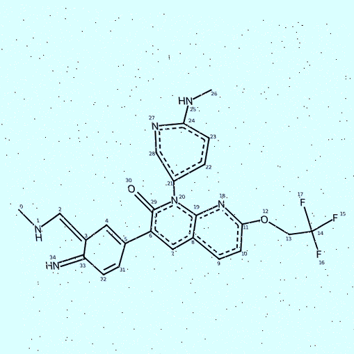 CN/C=C1/C=C(c2cc3ccc(OCC(F)(F)F)nc3n(-c3ccc(NC)nc3)c2=O)C=CC1=N